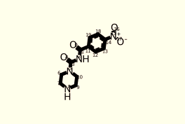 O=C(NC(=O)N1CCNCC1)c1ccc([N+](=O)[O-])cc1